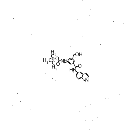 CC(C)(C)OC(=O)NCc1cc(CO)cc(C(=O)Nc2ccc3cnccc3c2)c1